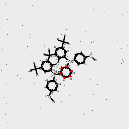 COc1ccc([P@](c2ccccc2)c2cc(C(C)(C)C)cc3c2Oc2c([P@@](c4ccccc4)c4ccc(OC)cc4)cc(C(C)(C)C)cc2C3(C)C)cc1